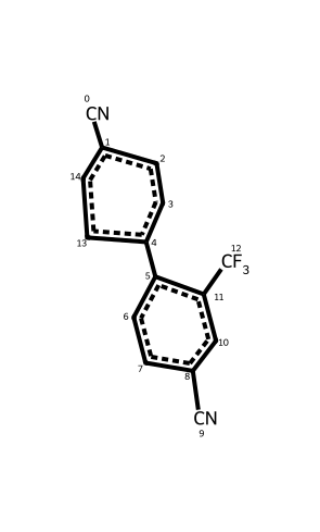 N#Cc1ccc(-c2ccc(C#N)cc2C(F)(F)F)cc1